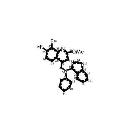 COc1cc(CN(c2ccccc2)c2ncnc3ccccc23)c2ccc(F)c(F)c2n1